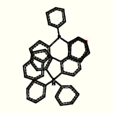 c1ccc(P(c2ccccc2)c2ccc3ccccc3c2-c2c([PH](c3ccccc3)(c3ccccc3)c3ccccc3)ccc3ccccc23)cc1